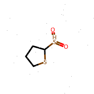 O=[SH](=O)C1CCCS1